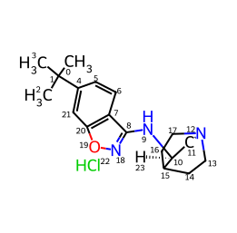 CC(C)(C)c1ccc2c(N[C@H]3CN4CCC3CC4)noc2c1.Cl